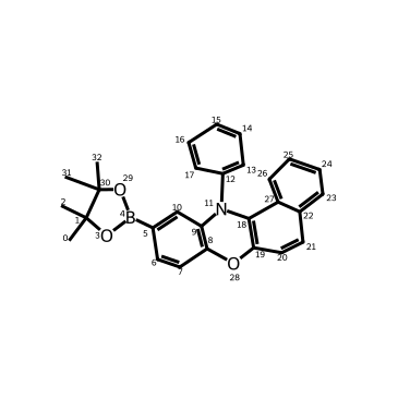 CC1(C)OB(c2ccc3c(c2)N(c2ccccc2)c2c(ccc4ccccc24)O3)OC1(C)C